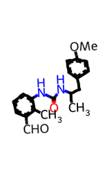 COc1ccc(CC(C)NC(=O)Nc2cccc(C=O)c2C)cc1